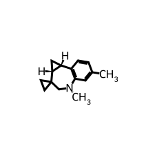 Cc1ccc2c(c1)N(C)CC1(CC1)[C@@H]1C[C@H]21